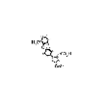 COC1CC(CC(=O)O)N(c2ccc(Oc3ccccc3C)cc2)C1